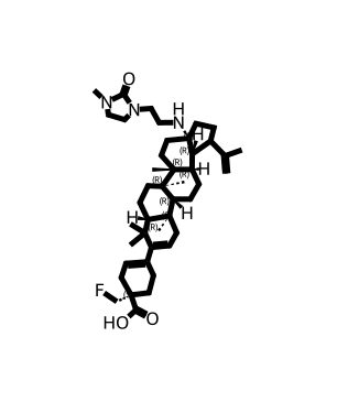 C=C(C)C1CC[C@]2(NCCN3CCN(C)C3=O)CC[C@]3(C)[C@H](CC[C@@H]4[C@@]5(C)CC=C(C6=CC[C@](CF)(C(=O)O)CC6)C(C)(C)[C@@H]5CC[C@]43C)[C@@H]12